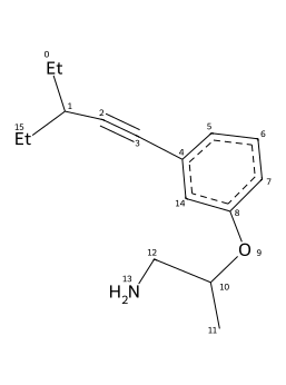 CCC(C#Cc1cccc(OC(C)CN)c1)CC